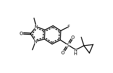 Cn1c(=O)n(C)c2cc(S(=O)(=O)NC3(C)CC3)c(F)cc21